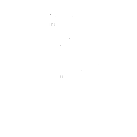 Cc1cc(-c2ccccc2)cnc1OCc1c(C)cccc1N(N)C(=O)NN